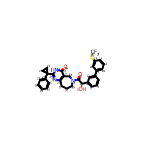 O=C([C@H](O)c1cccc(-c2cccc(SC(F)(F)F)c2)c1)N1CCCc2nc(C3(c4ccccc4)CC3)[nH]c(=O)c2C1